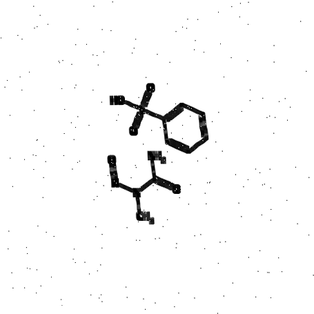 CN(N=O)C(N)=O.O=S(=O)(O)c1ccccc1